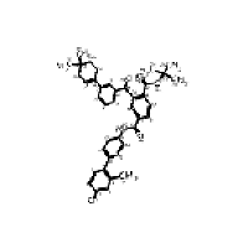 Cc1cc(Cl)ccc1-c1ccc(NC(=O)c2ccc(C(=O)OC(C)(C)C)c(C(C)c3cccc(C4=CCC(C)(C)CC4)c3)c2)cc1